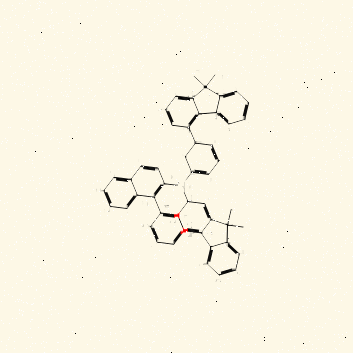 CC1(C)C2=CC(N(C3=CC=CC(c4cccc5c4-c4ccccc4C5(C)C)C3)c3ccc4ccccc4c3-c3ccccc3)CC=C2c2ccccc21